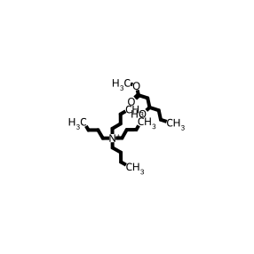 CCCC(O)CC(=O)OC.CCCC[N+](CCCC)(CCCC)CCCC